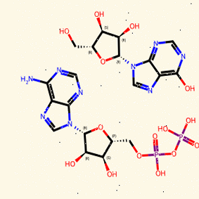 Nc1ncnc2c1ncn2[C@@H]1O[C@H](COP(=O)(O)OP(=O)(O)O)[C@@H](O)[C@H]1O.OC[C@H]1O[C@@H](n2cnc3c(O)ncnc32)[C@H](O)[C@@H]1O